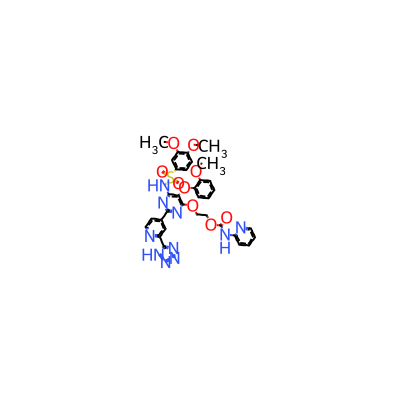 COc1ccc(S(=O)(=O)Nc2nc(-c3ccnc(-c4nnn[nH]4)c3)nc(OCCOC(=O)Nc3ccccn3)c2Oc2ccccc2OC)cc1OC